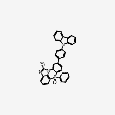 CCc1nc2cccc3c2n1-c1cc(-c2ccc(-n4c5ccccc5c5ccccc54)cc2)ccc1P3(=O)c1ccccc1